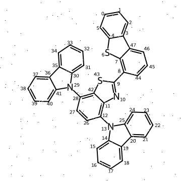 c1ccc2c(c1)sc1c(-c3nc4c(-n5c6ccccc6c6ccccc65)ccc(-n5c6ccccc6c6ccccc65)c4s3)cccc12